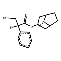 CN1C2CCC1CC(OC(=O)C(F)(CO)c1ccccc1)C2